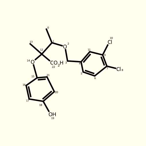 CC(OCc1ccc(Cl)c(Cl)c1)C(C)(Oc1ccc(O)cc1)C(=O)O